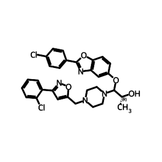 C[C@@H](O)C(Oc1ccc2oc(-c3ccc(Cl)cc3)nc2c1)N1CCN(Cc2cc(-c3ccccc3Cl)no2)CC1